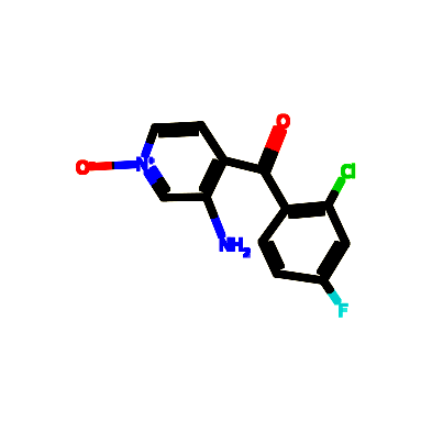 Nc1c[n+]([O-])ccc1C(=O)c1ccc(F)cc1Cl